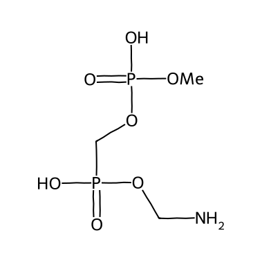 COP(=O)(O)OCP(=O)(O)OCN